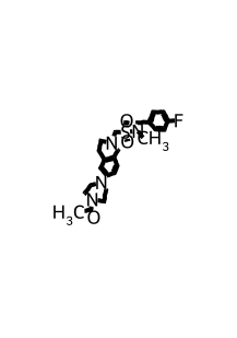 CC(=O)N1CCN(c2ccc3c(c2)CCN(CS(=O)(=O)N(C)Cc2ccc(F)cc2)C3)CC1